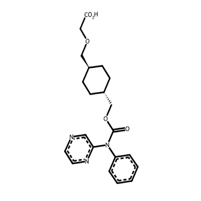 O=C(O)COC[C@H]1CC[C@H](COC(=O)N(c2ccccc2)c2cnccn2)CC1